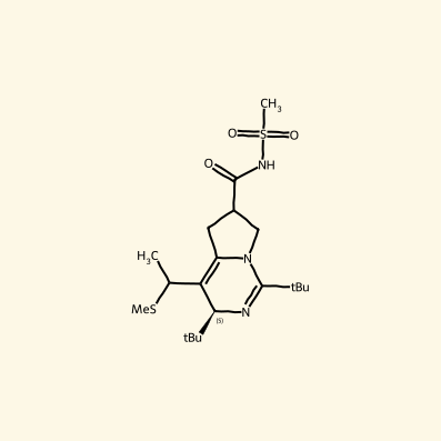 CSC(C)C1=C2CC(C(=O)NS(C)(=O)=O)CN2C(C(C)(C)C)=N[C@H]1C(C)(C)C